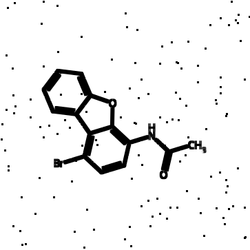 CC(=O)Nc1ccc(Br)c2c1oc1ccccc12